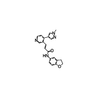 Cn1cc(-c2ccncc2/C=C/C(=O)Nc2ccc3c(c2)CCO3)cn1